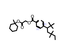 C=C(/C=C\C(=C/C)C(CC(C)(C)CC)C(C)(C)C)C(=O)OCC(=O)OC1(C)CCCCC1